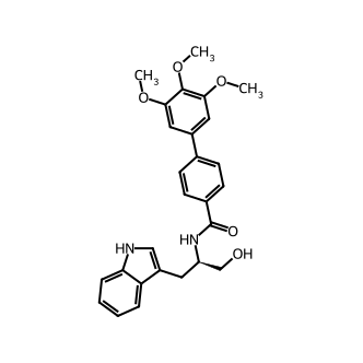 COc1cc(-c2ccc(C(=O)N[C@@H](CO)Cc3c[nH]c4ccccc34)cc2)cc(OC)c1OC